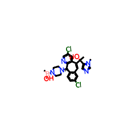 CB(O)N1CCN([C@@H]2c3ccc(Cl)cc3C=C(C(C)(O)c3cncn3C)c3cc(Cl)cnc32)CC1